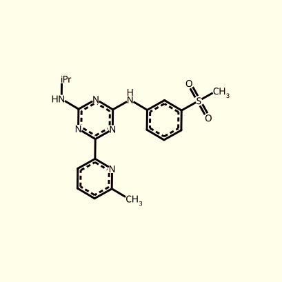 Cc1cccc(-c2nc(Nc3cccc(S(C)(=O)=O)c3)nc(NC(C)C)n2)n1